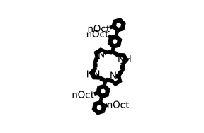 CCCCCCCCc1ccccc1-c1ccc(-c2c3nc(cc4ccc([nH]4)c(-c4ccc(-c5ccccc5CCCCCCCC)c(CCCCCCCC)c4)c4nc(cc5ccc2[nH]5)C=C4)C=C3)cc1CCCCCCCC